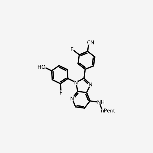 CCCCCNc1ccnc2c1nc(-c1ccc(C#N)c(F)c1)n2-c1ccc(O)cc1F